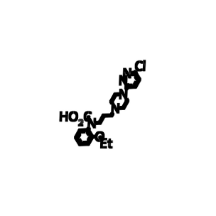 CCOc1ccccc1N(CCCN1CCN(c2ccc(Cl)nn2)CC1)C(=O)O